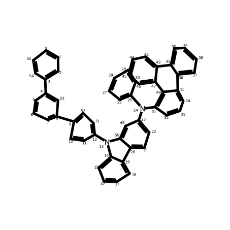 c1ccc(-c2cccc(-c3ccc(-n4c5ccccc5c5ccc(N(c6ccccc6)c6cccc7c8ccccc8c8ccccc8c67)cc54)cc3)c2)cc1